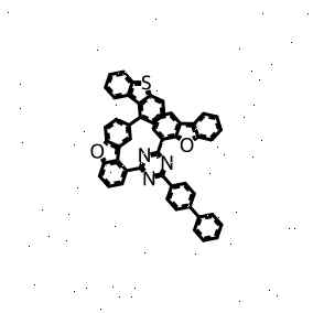 c1ccc(-c2ccc(-c3nc(-c4cccc5c4oc4ccccc45)nc(-c4cccc5oc6ccc(-c7cccc8sc9ccccc9c78)cc6c45)n3)cc2)cc1